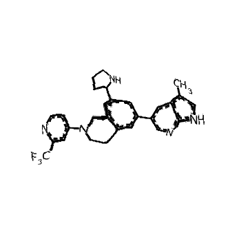 Cc1c[nH]c2ncc(-c3cc4c(c(C5CCCN5)c3)CN(c3ccnc(C(F)(F)F)c3)CC4)cc12